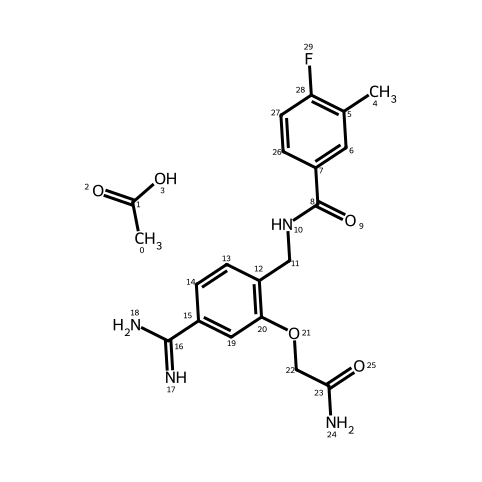 CC(=O)O.Cc1cc(C(=O)NCc2ccc(C(=N)N)cc2OCC(N)=O)ccc1F